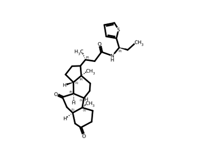 CC[C@@H](NC(=O)C[C@@H](C)C1CC[C@H]2[C@@H]3C(=O)C[C@@H]4CC(=O)CC[C@]4(C)[C@H]3CC[C@]12C)c1cccs1